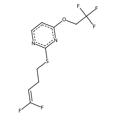 FC(F)=CCCSc1nccc(OCC(F)(F)F)n1